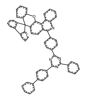 c1ccc(-c2ccc(-c3nc(-c4ccccc4)nc(-c4ccc(-c5nc6ccccc6c6c7c(ccc56)C5(c6ccccc6O7)c6ccccc6-c6ccccc65)cc4)n3)cc2)cc1